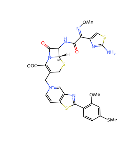 CON=C(C(=O)NC1C(=O)N2C(C(=O)[O-])=C(C[n+]3ccc4sc(-c5ccc(SC)cc5OC)nc4c3)CS[C@@H]12)c1csc(N)n1